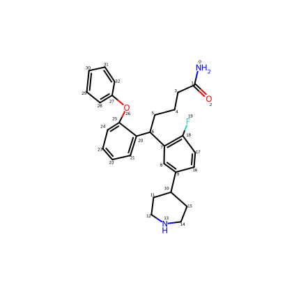 NC(=O)CCCC(c1cc(C2CCNCC2)ccc1F)c1ccccc1Oc1ccccc1